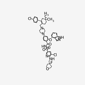 CC1(C)CCC(CN2CCN(c3ccc(C(=O)NS(=O)(=O)c4cnc(NCC5(F)CCOCC5)c(Cl)c4)c(Oc4cccc5[nH]ncc45)c3)CC2)=C(c2ccc(Cl)cc2)C1